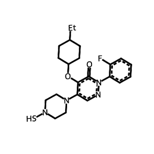 CCC1CCC(Oc2c(N3CCN(S)CC3)cnn(-c3ccccc3F)c2=O)CC1